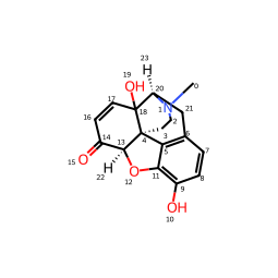 CN1CC[C@]23c4c5ccc(O)c4O[C@H]2C(=O)C=CC3(O)[C@H]1C5